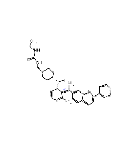 CCNC(=O)NC[C@H]1CC[C@H](C(I)N2C=CN=C(N)/C2=C(/N)c2ccc3ccc(-c4ccccc4)nc3c2)CC1